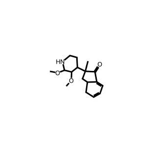 COC1NCCC(C2(C)CC3CC=CC=C3C2=O)C1OC